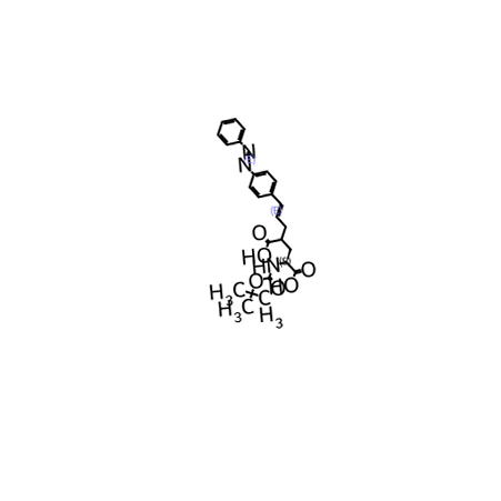 CC(C)(C)OC(=O)N[C@@H](CC(C/C=C/c1ccc(/N=N/c2ccccc2)cc1)C(=O)O)C(=O)O